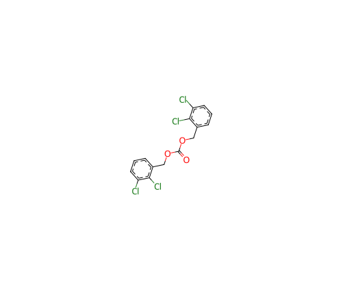 O=C(OCc1cccc(Cl)c1Cl)OCc1cccc(Cl)c1Cl